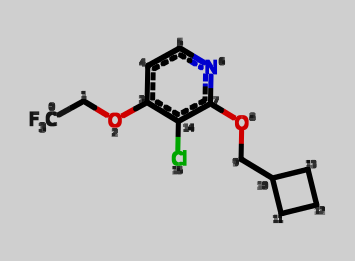 FC(F)(F)COc1ccnc(OCC2CCC2)c1Cl